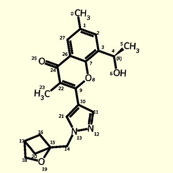 Cc1cc([C@@H](C)O)c2oc(-c3cnn(CC45CC(CO4)C5)c3)c(C)c(=O)c2c1